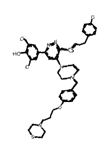 Oc1c(Cl)cc(-c2cc(N3CCN(Cc4ccc(OCCCN5CCSCC5)cc4)CC3)c(OCCc3ccc(Cl)cc3)nn2)cc1Cl